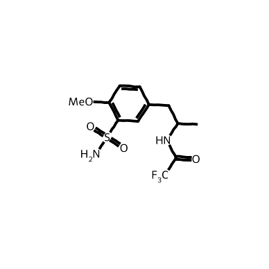 COc1ccc(CC(C)NC(=O)C(F)(F)F)cc1S(N)(=O)=O